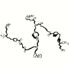 COCCOC(=O)CCN(CCCN1CCN(CCCN(CCC=O)CCC(=O)OCCOC(=O)C2CCC(CCCC(C)CCCC(C)C)CC2)CC1)CCC(=O)OCCOC(=O)C1CCC(CCCC(C)CCCC(C)C)CC1